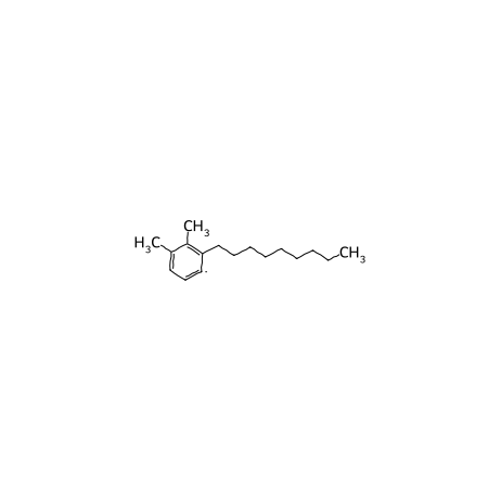 CCCCCCCCCc1[c]ccc(C)c1C